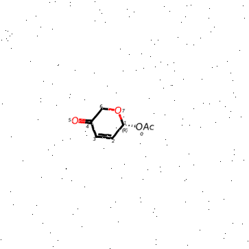 CC(=O)O[C@@H]1C=CC(=O)CO1